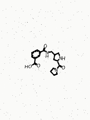 O=C(O)c1cccc(C(=O)NCC2CNC(C(=O)N3CCCC3)C2)c1